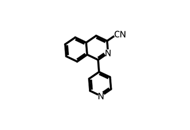 N#Cc1cc2ccccc2c(-c2ccncc2)n1